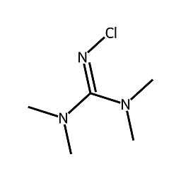 CN(C)C(=NCl)N(C)C